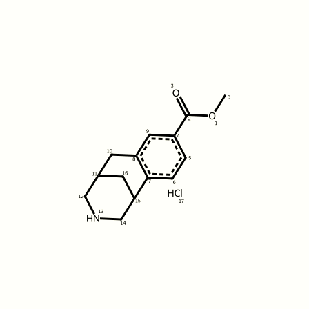 COC(=O)c1ccc2c(c1)CC1CNCC2C1.Cl